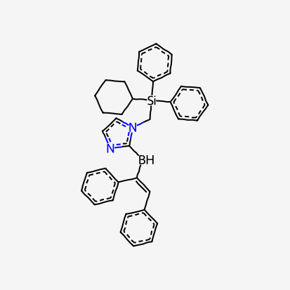 B(C(=Cc1ccccc1)c1ccccc1)c1nccn1C[Si](c1ccccc1)(c1ccccc1)C1CCCCC1